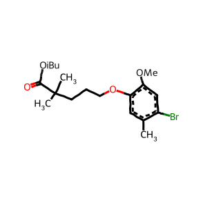 COc1cc(Br)c(C)cc1OCCCC(C)(C)C(=O)OCC(C)C